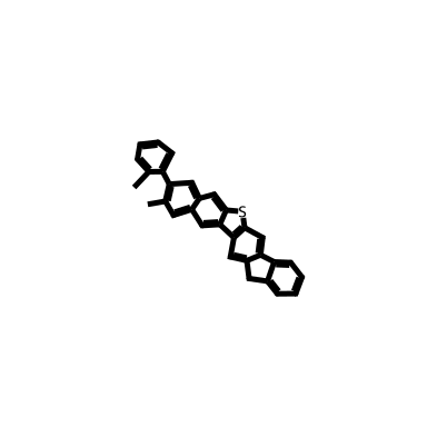 Cc1ccccc1-c1cc2cc3sc4cc5c(cc4c3cc2cc1C)Cc1ccccc1-5